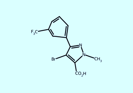 Cn1nc(-c2cccc(C(F)(F)F)c2)c(Br)c1C(=O)O